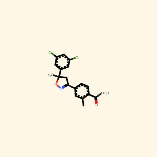 Cc1cc(C2=NOC(c3cc(Cl)cc(Cl)c3)(C(F)(F)F)C2)ccc1C(=O)C(=O)O